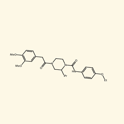 CCOc1ccc(NC(=O)N2CCN(C(=O)Cc3ccc(OC)c(OC)c3)CC2C(C)C)cc1